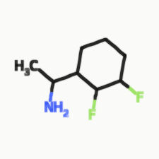 CC(N)C1CCCC(F)C1F